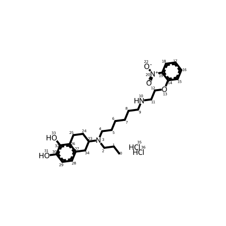 CCCN(CCCCCCNCCOc1ccccc1[N+](=O)[O-])C1CCc2c(ccc(O)c2O)C1.Cl.Cl